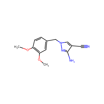 COc1ccc(Cn2cc(C#N)c(N)n2)cc1OC